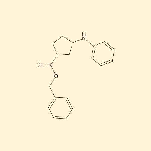 O=C(OCc1ccccc1)C1CCC(Nc2ccccc2)C1